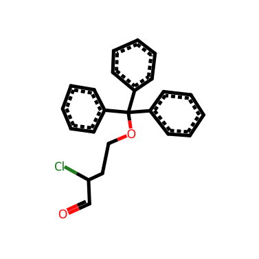 O=CC(Cl)CCOC(c1ccccc1)(c1ccccc1)c1ccccc1